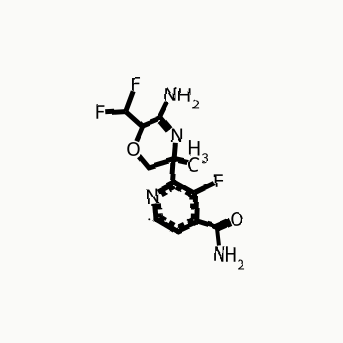 CC1(c2n[c]cc(C(N)=O)c2F)COC(C(F)F)C(N)=N1